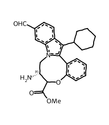 COC(=O)C1Oc2ccccc2-c2c(C3CCCCC3)c3ccc(C=O)cc3n2C[C@H]1N